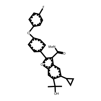 CNC(=O)c1c(-c2ccc(Oc3ccc(F)cc3)cc2)oc2cc(C(C)(C)O)c(C3CC3)cc12